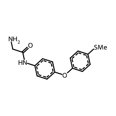 CSc1ccc(Oc2ccc(NC(=O)CN)cc2)cc1